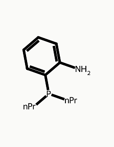 CCCP(CCC)c1ccccc1N